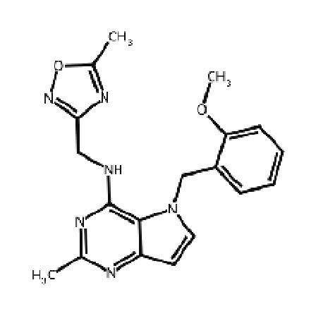 COc1ccccc1Cn1ccc2nc(C)nc(NCc3noc(C)n3)c21